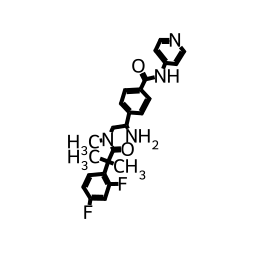 CN(CC(N)c1ccc(C(=O)Nc2ccncc2)cc1)C(=O)C(C)(C)c1ccc(F)cc1F